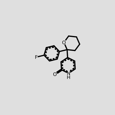 O=c1cc(C2(c3ccc(F)cc3)CCCCO2)cc[nH]1